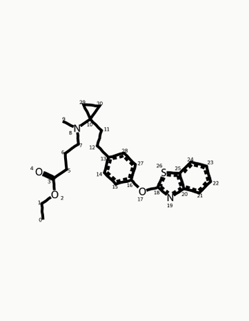 CCOC(=O)CCCN(C)C1(CCc2ccc(Oc3nc4ccccc4s3)cc2)CC1